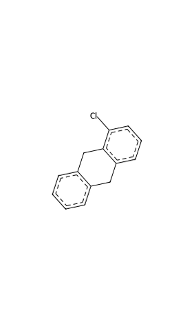 Clc1cccc2c1Cc1ccccc1C2